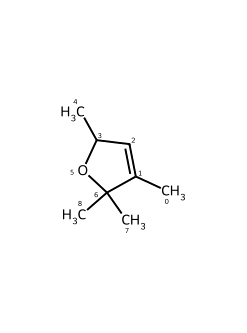 CC1=CC(C)OC1(C)C